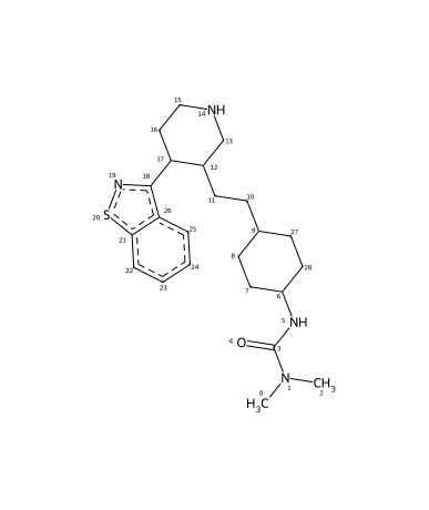 CN(C)C(=O)NC1CCC(CCC2CNCCC2c2nsc3ccccc23)CC1